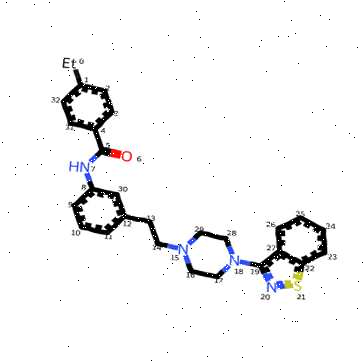 CCc1ccc(C(=O)Nc2cccc(CCN3CCN(c4nsc5ccccc45)CC3)c2)cc1